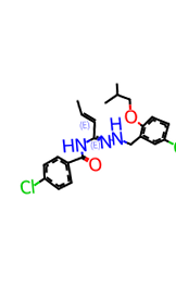 C/C=C/C(=N\NCc1cc(Cl)ccc1OCC(C)C)NC(=O)c1ccc(Cl)cc1